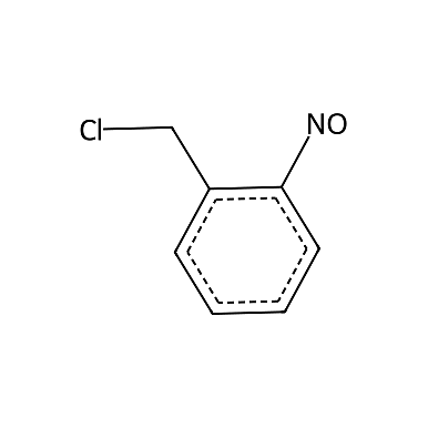 O=Nc1ccccc1CCl